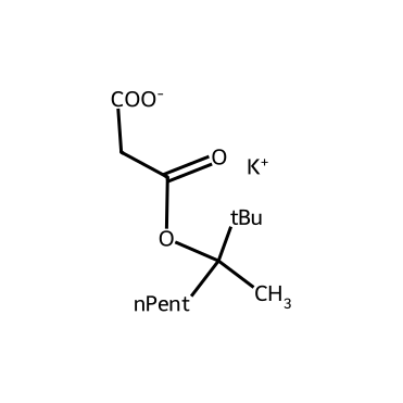 CCCCCC(C)(OC(=O)CC(=O)[O-])C(C)(C)C.[K+]